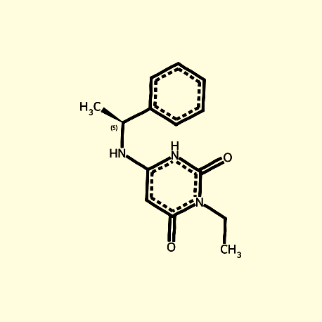 CCn1c(=O)cc(N[C@@H](C)c2ccccc2)[nH]c1=O